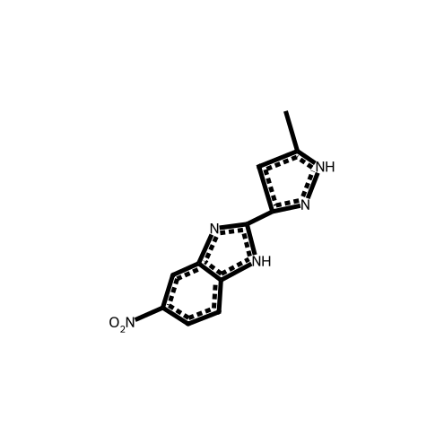 Cc1cc(-c2nc3cc([N+](=O)[O-])ccc3[nH]2)n[nH]1